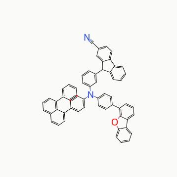 N#Cc1ccc2c(c1)C(c1cccc(N(c3ccc(-c4cccc5c4oc4ccccc45)cc3)c3ccc(-c4cccc5cccc(-c6ccccc6)c45)cc3)c1)c1ccccc1-2